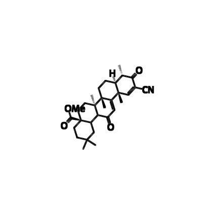 COC(=O)[C@]12CCC(C)(C)CC1C1C(=O)C=C3[C@@]4(C)C=C(C#N)C(=O)[C@@H](C)[C@@H]4CC[C@@]3(C)[C@]1(C)CC2